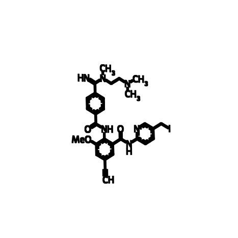 C#Cc1cc(OC)c(NC(=O)c2ccc(C(=N)N(C)CCN(C)C)cc2)c(C(=O)Nc2ccc(CI)cn2)c1